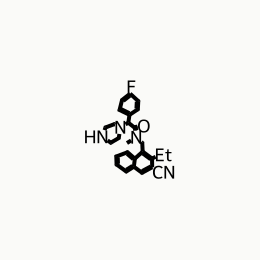 CCc1c(C#N)cc2ccccc2c1CN(C)C(=O)C(c1ccc(F)cc1)N1CCNCC1